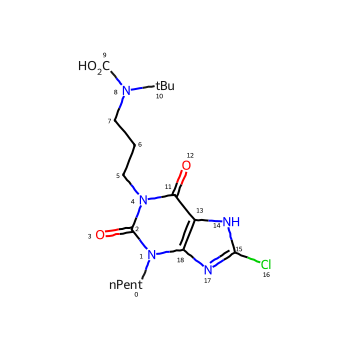 CCCCCn1c(=O)n(CCCN(C(=O)O)C(C)(C)C)c(=O)c2[nH]c(Cl)nc21